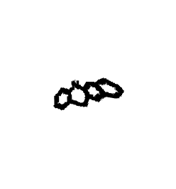 CN1c2ccccc2CCc2cc3ccccc3cc21